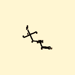 CC(C)(F)CN[C]=O